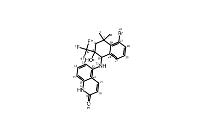 CC1(C)CC(O)(C(F)(F)F)C(Nc2cccc3[nH]c(=O)ccc23)c2cccc(Br)c21